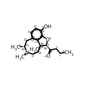 CCCC(=O)[C@@H]1Oc2c(O)ccc3c2[C@@]1(C)CCN(C)[C@@H](C)C3